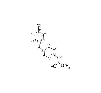 O=C(ON1CCC(Cc2ccc(Cl)cc2)CC1)C(F)(F)F